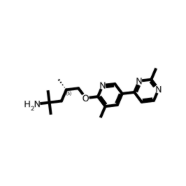 Cc1nccc(-c2cnc(OC[C@@H](C)CC(C)(C)N)c(C)c2)n1